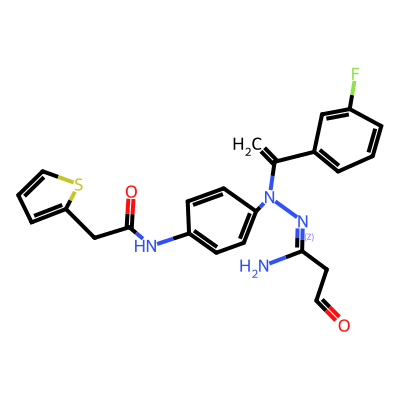 C=C(c1cccc(F)c1)N(/N=C(\N)CC=O)c1ccc(NC(=O)Cc2cccs2)cc1